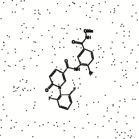 CONC(=O)c1ccc(Br)c(NC(=O)c2ccc(=O)n(-c3c(F)cccc3F)c2)c1